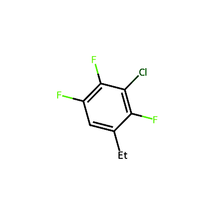 CCc1cc(F)c(F)c(Cl)c1F